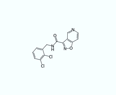 O=C(NCc1cccc(Cl)c1Cl)c1noc2ccncc12